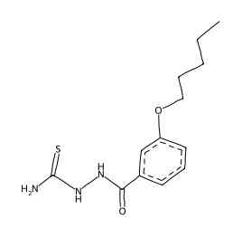 CCCCCOc1cccc(C(=O)NNC(N)=S)c1